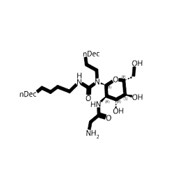 CCCCCCCCCCCCCCNC(=O)N(CCCCCCCCCCCC)[C@@H]1O[C@H](CO)[C@@H](O)[C@H](O)[C@H]1NC(=O)CN